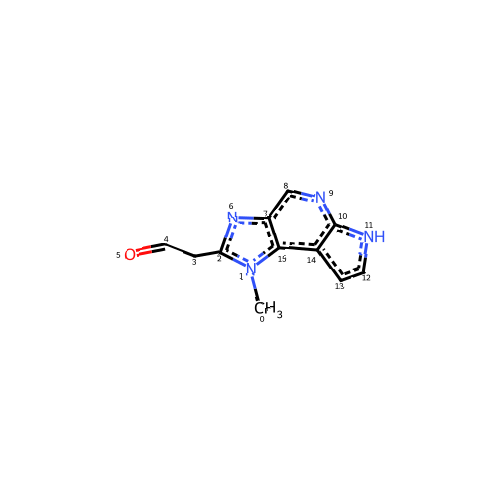 Cn1c(CC=O)nc2cnc3[nH]ccc3c21